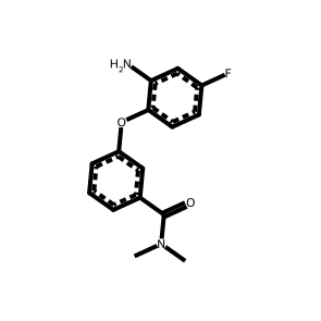 CN(C)C(=O)c1cccc(Oc2ccc(F)cc2N)c1